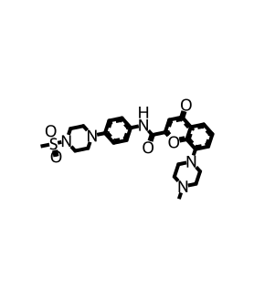 CN1CCN(c2cccc3c(=O)cc(C(=O)Nc4ccc(N5CCN(S(C)(=O)=O)CC5)cc4)oc23)CC1